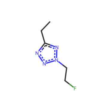 CCc1nnn(CCF)n1